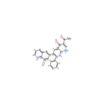 CC(C)C(=O)c1c[nH]c2nc(-c3ccccc3)c(-c3cc(Cl)c4ncccc4c3)cc2c1=O